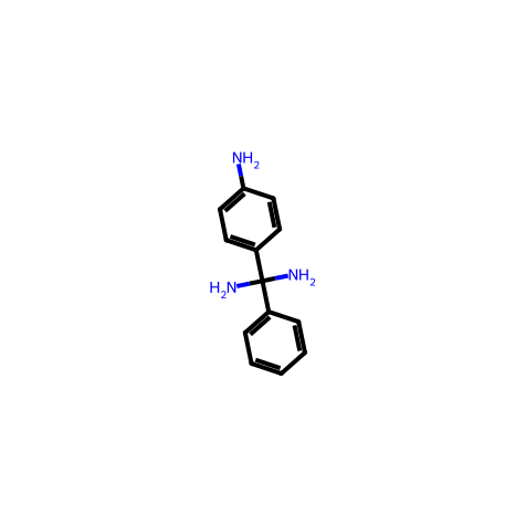 Nc1ccc(C(N)(N)c2ccccc2)cc1